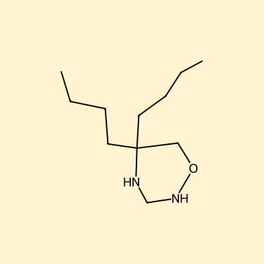 CCCCC1(CCCC)CONCN1